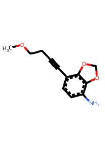 COCCC#Cc1ccc(N)c2c1OCO2